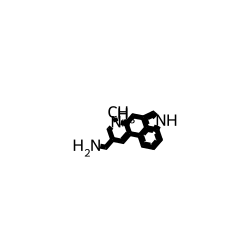 CN1CC(CN)C=C2c3cccc4[nH]cc(c34)C[C@H]21